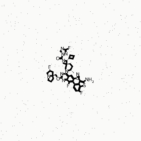 C[C@H]1CC[C@]2(CN(C(=O)n3cnc(F)n3)[C@@H]2C2CCC2)CN1c1nc(OC[C@@]23CCCN2C[C@H](F)C3)nc2c(F)c(-c3ccc(F)c4sc(N)c(C#N)c34)c(Cl)cc12